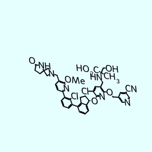 COc1nc(-c2cccc(-c3cccc4c3CC[C@@H]4Oc3nc(OCc4cncc(C#N)c4)c(CN[C@@](C)(CO)C(=O)O)cc3Cl)c2Cl)ccc1CN1CC2(CCC(=O)N2)C1